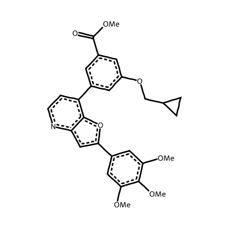 COC(=O)c1cc(OCC2CC2)cc(-c2ccnc3cc(-c4cc(OC)c(OC)c(OC)c4)oc23)c1